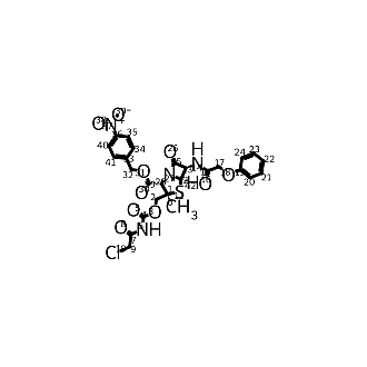 C[C@@]1(COC(=O)NC(=O)CCl)S[C@@H]2[C@H](NC(=O)COc3ccccc3)C(=O)N2[C@H]1C(=O)OCc1ccc([N+](=O)[O-])cc1